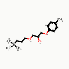 Cc1ccc(OCC(O)COCCC[Si](C)(C)C)cc1